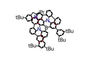 CC(C)C1Cc2cc(C(C)(C)C)ccc2N1c1cc2c3c(c1)N(c1c(-c4ccccc4)cccc1-c1ccccc1)c1cc(-c4cc(C(C)(C)C)cc(C(C)(C)C)c4)ccc1B3c1cc(-c3cc(C(C)(C)C)cc(C(C)(C)C)c3)ccc1N2c1c(-c2ccccc2)cccc1-c1ccccc1